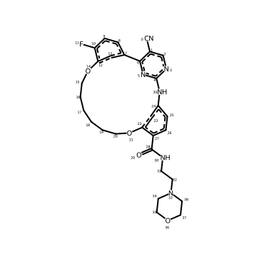 N#Cc1cnc2nc1-c1ccc(F)c(c1)OCCCCCCOc1cc(ccc1C(=O)NCCN1CCOCC1)N2